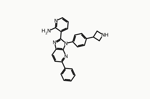 Nc1ncccc1-c1nc2ccc(-c3ccccc3)nc2n1-c1ccc(C2CNC2)cc1